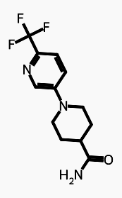 NC(=O)C1CCN(c2ccc(C(F)(F)F)nc2)CC1